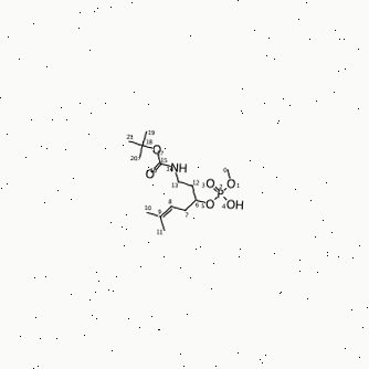 COP(=O)(O)OC(CC=C(C)C)CCNC(=O)OC(C)(C)C